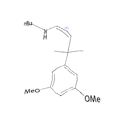 CCCCN/C=C\C(C)(C)c1cc(OC)cc(OC)c1